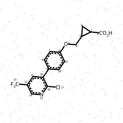 O=C(O)C1CC1COc1ccc(-c2cc(C(F)(F)F)cnc2Cl)cc1